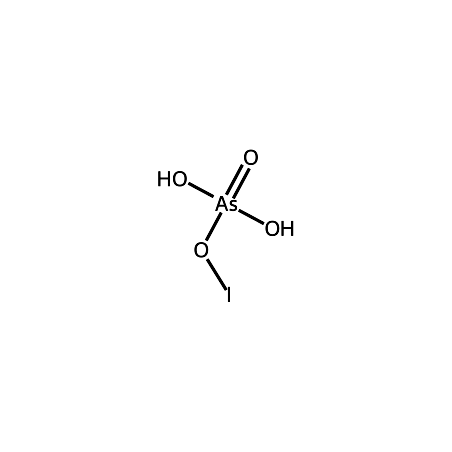 O=[As](O)(O)OI